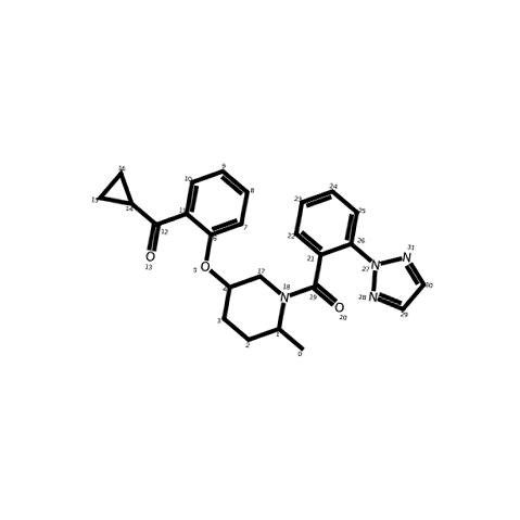 CC1CCC(Oc2ccccc2C(=O)C2CC2)CN1C(=O)c1ccccc1-n1nccn1